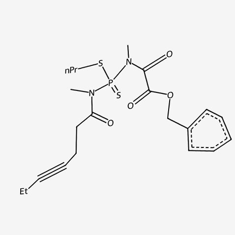 CCC#CCCC(=O)N(C)P(=S)(SCCC)N(C)C(=O)C(=O)OCc1ccccc1